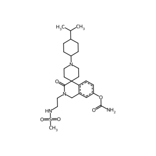 CC(C)C1CCC(N2CCC3(CC2)C(=O)N(CCNS(C)(=O)=O)Cc2cc(OC(N)=O)ccc23)CC1